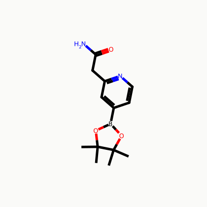 CC1(C)OB(c2ccnc(CC(N)=O)c2)OC1(C)C